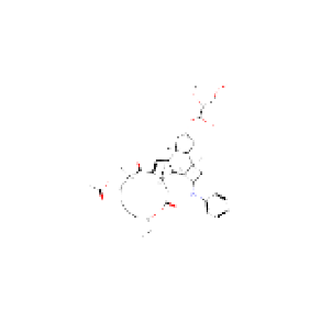 CC[C@H]1CCC[C@H](OC(C)=O)[C@@H](C)C(=O)C2=CC3[C@@H]4C[C@H](OC(O)[C@H](COC)OC)CC4[C@@H]4CC(Nc5ccccc5)[C@@H]4[C@H]3[C@@H]2CC(=O)O1